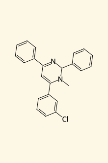 CN1C(c2cccc(Cl)c2)=CC(c2ccccc2)=NC1c1ccccc1